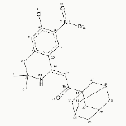 CC1(C)Cc2cc(Cl)c([N+](=O)[O-])cc2C(=CC(=O)C23CC4CC(CC(C4)C2)C3)N1